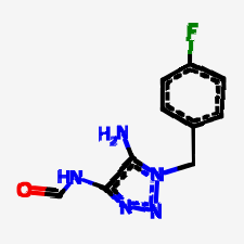 Nc1c(NC=O)nnn1Cc1ccc(F)cc1